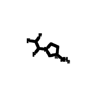 N[C@@H]1CCN(C(F)C(F)F)C1